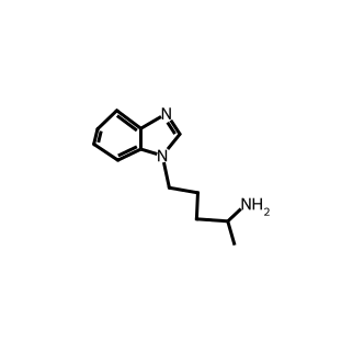 CC(N)CCCn1cnc2ccccc21